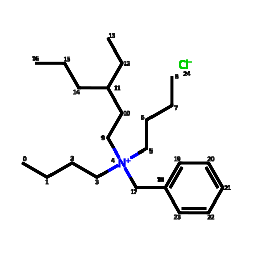 CCCC[N+](CCCC)(CCC(CC)CCC)Cc1ccccc1.[Cl-]